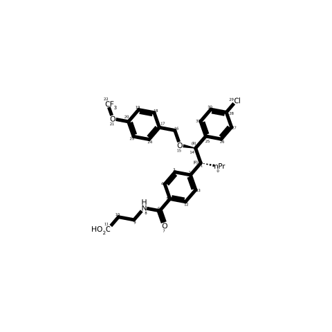 CCC[C@H](c1ccc(C(=O)NCCC(=O)O)cc1)[C@@H](OCc1ccc(OC(F)(F)F)cc1)c1ccc(Cl)cc1